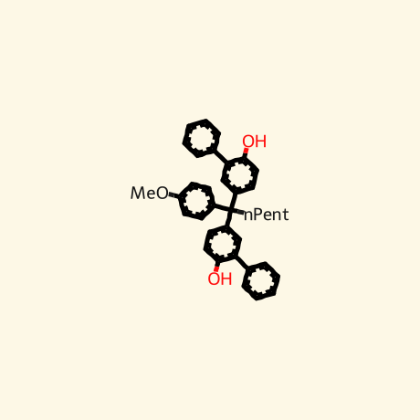 CCCCCC(c1ccc(OC)cc1)(c1ccc(O)c(-c2ccccc2)c1)c1ccc(O)c(-c2ccccc2)c1